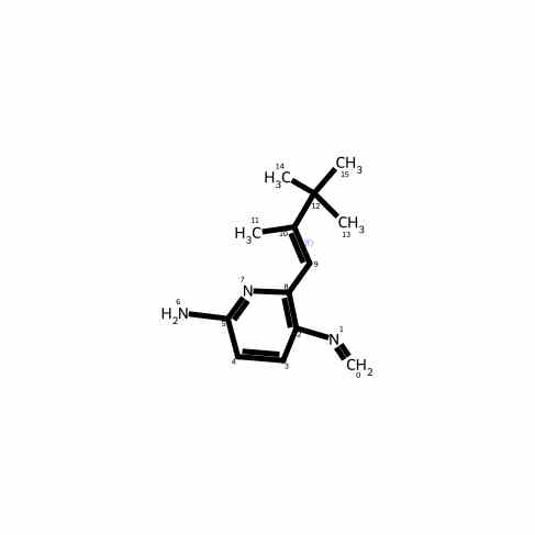 C=Nc1ccc(N)nc1/C=C(\C)C(C)(C)C